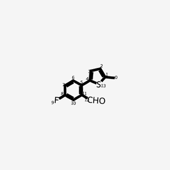 Cc1ccc(-c2ccc(F)cc2C=O)s1